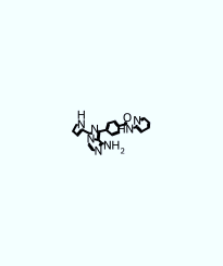 Nc1nccn2c(C3=CCCN3)nc(-c3ccc(C(=O)Nc4ccccn4)cc3)c12